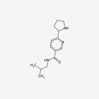 CC(C)CNC(=O)c1ccc(C2CCCN2)nc1